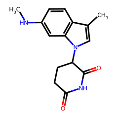 CNc1ccc2c(C)cn(C3CCC(=O)NC3=O)c2c1